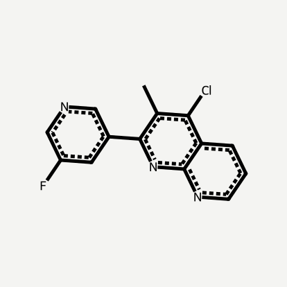 Cc1c(-c2cncc(F)c2)nc2ncccc2c1Cl